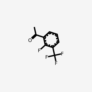 CC(=O)c1cccc(C(F)(F)F)c1F